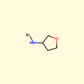 CC(=O)NC1C[CH]OC1